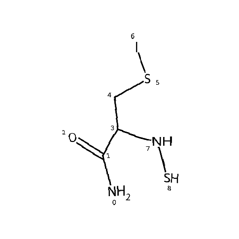 NC(=O)C(CSI)NS